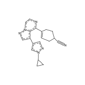 N#CC1CC=C(c2nccn3ncc(-c4cnn(C5CC5)c4)c23)CC1